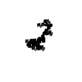 CCCCCCCC1(CCCCCCC)c2ccccc2-c2ccc(-c3ccc4c(c3)C(C)(C)c3cc(-c5ccc(-c6cc7c(c8c6oc6ccccc68)-c6ccc(N(c8ccc(C(C)(C)C)cc8)c8ccc9c(c8)C(C)(C)c8cc%10c(cc8-9)C(C)(C)c8ccc9oc%11ccccc%11c9c8-%10)cc6C7(C)C)cc5)ccc3-4)cc21